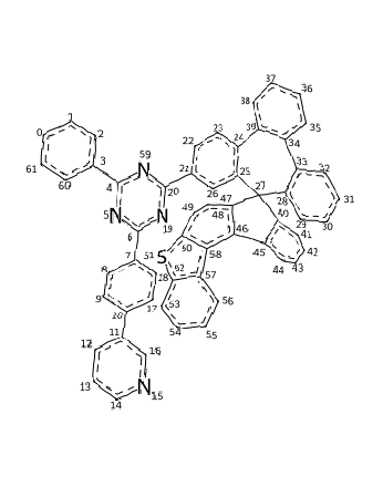 c1ccc(-c2nc(-c3ccc(-c4cccnc4)cc3)nc(-c3ccc4c(c3)C3(c5ccccc5-c5ccccc5-4)c4ccccc4-c4c3ccc3sc5ccccc5c43)n2)cc1